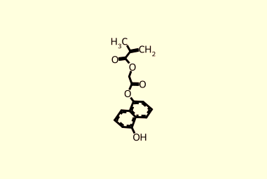 C=C(C)C(=O)OCC(=O)Oc1cccc2c(O)cccc12